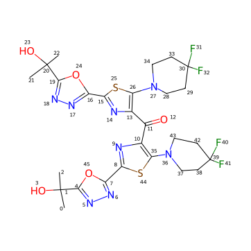 CC(C)(O)c1nnc(-c2nc(C(=O)c3nc(-c4nnc(C(C)(C)O)o4)sc3N3CCC(F)(F)CC3)c(N3CCC(F)(F)CC3)s2)o1